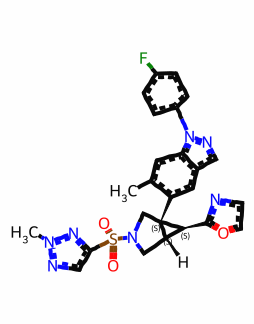 Cc1cc2c(cnn2-c2ccc(F)cc2)cc1[C@]12CN(S(=O)(=O)c3cnn(C)n3)C[C@H]1[C@@H]2c1ncco1